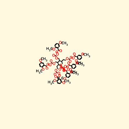 COc1ccc(OC)c(C(=O)OOC(=O)OCCC(COC(=O)OOC(=O)c2cc(OC)ccc2OC)C(COC(=O)OOC(=O)c2cc(OC)ccc2OC)C(COC(=O)OOC(=O)c2cc(OC)ccc2OC)C(CCOC(=O)OOC(=O)c2cc(OC)ccc2OC)COC(=O)OOC(=O)c2cc(OC)ccc2OC)c1